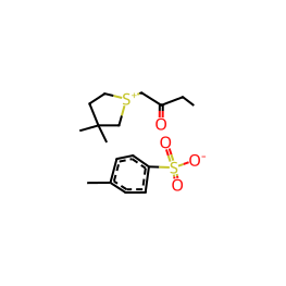 CCC(=O)C[S+]1CCC(C)(C)C1.Cc1ccc(S(=O)(=O)[O-])cc1